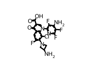 Nc1c(F)c(F)nc(-n2cc(C(=O)O)c(=O)c3cc(F)c(N4CC(N)C4)c(Cl)c32)c1F